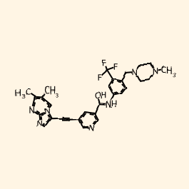 Cc1cn2c(C#Cc3cncc(C(O)Nc4ccc(CN5CCN(C)CC5)c(C(F)(F)F)c4)c3)cnc2nc1C